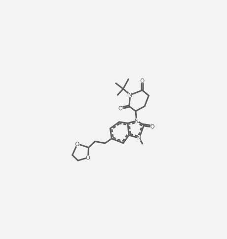 Cn1c(=O)n(C2CCC(=O)N(C(C)(C)C)C2=O)c2ccc(CCC3OCCO3)cc21